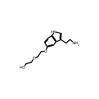 NCCc1c[nH]c2ccc(OCCOCCO)cc12